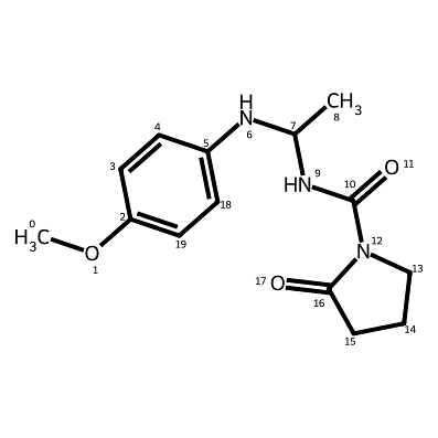 COc1ccc(NC(C)NC(=O)N2CCCC2=O)cc1